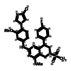 CNc1nc(Nc2ccc(-n3cnc(Cl)c3)c(OC)c2)nc2c1CN(S(C)(=O)=O)CC2c1ccc(F)cc1